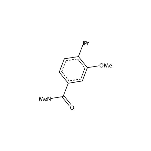 CNC(=O)c1ccc(C(C)C)c(OC)c1